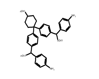 CCCCCCCCCCC1CCC(c2ccc(C(CCCCCCCC)c3ccc(N)cc3)cc2)(c2ccc(C(CCCCCCCC)c3ccc(N)cc3)cc2)CC1